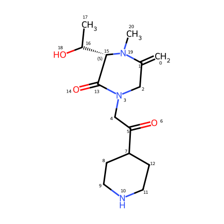 C=C1CN(CC(=O)C2CCNCC2)C(=O)[C@H](C(C)O)N1C